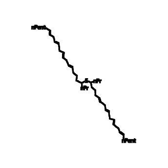 CCCCCC=CCC=CCC=CCC=CCCCC(CCC)SC(CCC)CCCC=CCC=CCC=CCC=CCCCCC